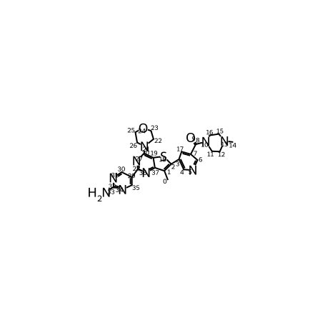 Cc1c(-c2cncc(C(=O)N3CCN(C)CC3)c2)sc2c(N3CCOCC3)nc(-c3cnc(N)nc3)nc12